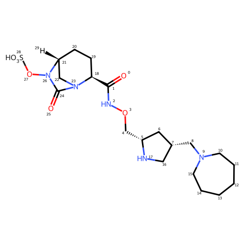 O=C(NOC[C@@H]1C[C@H](CN2CCCCCC2)CN1)[C@@H]1CC[C@@H]2CN1C(=O)N2OS(=O)(=O)O